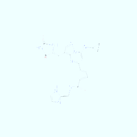 O=C1NC(=O)/C(=C/c2cnn3c(NC4CC4)cc(-c4ccc(C(=O)NCc5ncc[nH]5)s4)nc23)N1